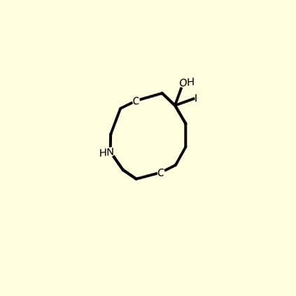 OC1(I)CCCCCCNCCCC1